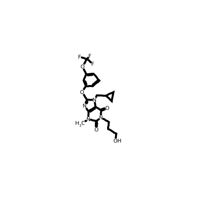 Cn1c(=O)n(CCCO)c(=O)c2c1nc(Oc1cccc(OC(F)(F)F)c1)n2CC1CC1